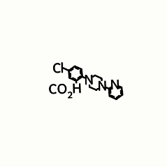 O=C(O)c1cc(Cl)ccc1N1CCN(c2ccccn2)CC1